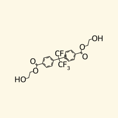 O=C(OCCO)c1ccc(C(c2ccc(C(=O)OCCO)cc2)(C(F)(F)F)C(F)(F)F)cc1